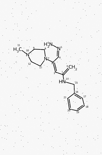 C=C(/C=C(\C=N/N)N1CCN(C)CC1)NCc1ccccc1